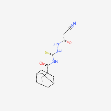 N#CCC(=O)NNC(=S)NC(=O)C12CC3CC(CC(C3)C1)C2